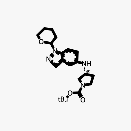 CC(C)(C)OC(=O)N1CC[C@@H](Nc2ccc3c(cnn3C3CCCCO3)c2)C1